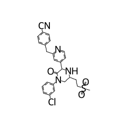 CS(=O)(=O)CCC1CN(c2cccc(Cl)c2)C(=O)C(c2ccnc(Cc3ccc(C#N)cc3)c2)N1